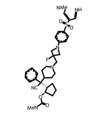 CN/C=C(\C=N)S(=O)(=O)c1ccc(N2CC(F)(CN3CCC(C(C#N)(c4ccccc4)[C@@H]4CCC[C@H]4OC(=O)NC)CC3)C2)cc1